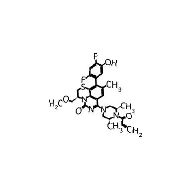 C=CC(=O)N1[C@H](C)CN(c2nc(=O)n3c4c(c(-c5cc(O)c(F)cc5F)c(C)cc24)SC[C@@H]3COC)C[C@@H]1C